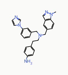 Cn1ncc2cc(CN(CCc3ccc(N)cc3)Cc3cccc(-n4ccnc4)c3)ccc21